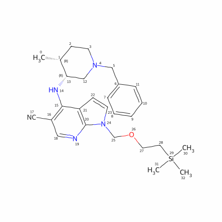 C[C@@H]1CCN(Cc2ccccc2)C[C@@H]1Nc1c(C#N)cnc2c1ccn2COCC[Si](C)(C)C